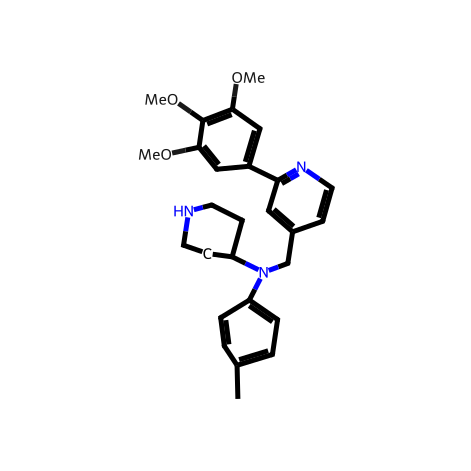 COc1cc(-c2cc(CN(c3ccc(C)cc3)C3CCNCC3)ccn2)cc(OC)c1OC